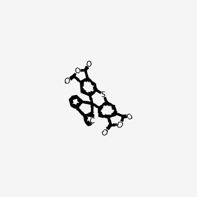 O=C1OC(=O)c2cc3c(cc21)Sc1cc2c(cc1C31c3ccccc3-c3ccccc31)C(=O)OC2=O